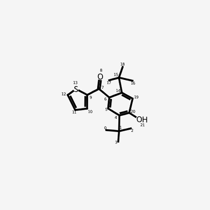 CC(C)(C)c1cc(C(=O)c2cccs2)c(C(C)(C)C)cc1O